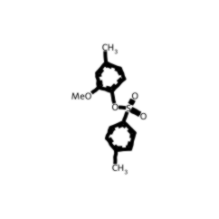 COc1cc(C)ccc1OS(=O)(=O)c1ccc(C)cc1